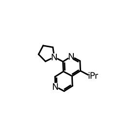 CC(C)c1cnc(N2CCCC2)c2cnccc12